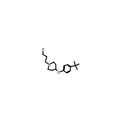 CC(C)(C)c1ccc(OC2CCN(CCCF)CC2)cc1